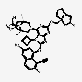 C#Cc1c(F)ccc2cc(O)cc(Oc3nc4nc(OC[C@@]56CCCN5C[C@H](F)C6)nc(N5C[C@@H]6C[C@H](OC)[C@H](C5)N6C(=O)O)c4n3C3CCC3)c12